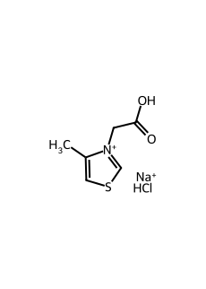 Cc1csc[n+]1CC(=O)O.Cl.[Na+]